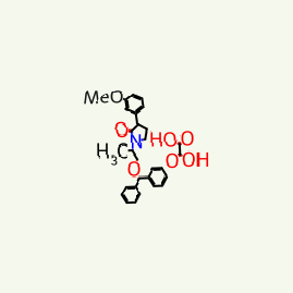 COc1cccc(C2CCN(C(C)COC(c3ccccc3)c3ccccc3)C2=O)c1.O=C(O)C(=O)O